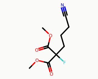 COC(=O)C(F)(CCCC#N)C(=O)OC